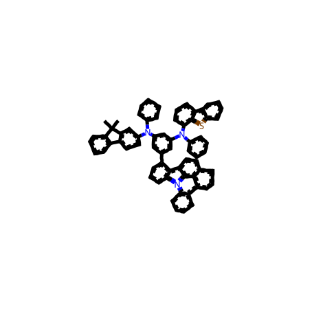 CC1(C)c2ccccc2-c2ccc(N(c3ccccc3)c3cc(-c4cccc5c4c4ccc6cccc7c8ccccc8n5c4c67)cc(N(c4ccccc4)c4cccc5c4sc4ccccc45)c3)cc21